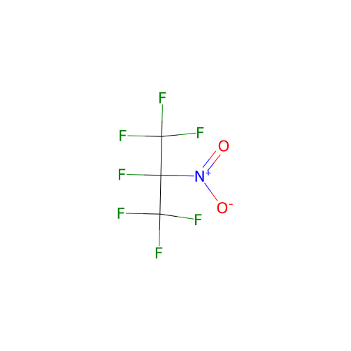 O=[N+]([O-])C(F)(C(F)(F)F)C(F)(F)F